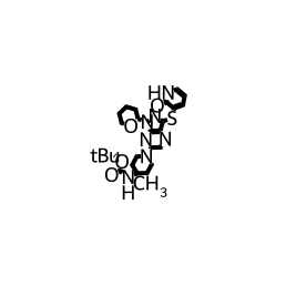 CC1(NC(=O)OC(C)(C)C)CCN(c2cnc3c(Sc4ccc[nH]c4=O)nn(C4CCCCO4)c3n2)CC1